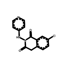 O=C1Cc2ccc(Cl)cc2C(=O)N1Nc1ccncc1